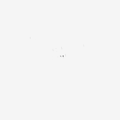 CCCCCCCCCOC(CO)C(O)C(O)(CCCCCCCCC)C(O)CCCCCCCCC